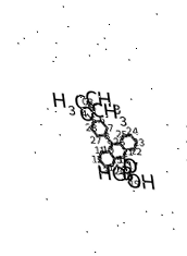 CC(C)(C)Oc1ccc(-c2c3ccccc3c(OB(O)O)c3ccccc23)cc1